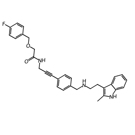 Cc1[nH]c2ccccc2c1CCNCc1ccc(C#CCNC(=O)COCc2ccc(F)cc2)cc1